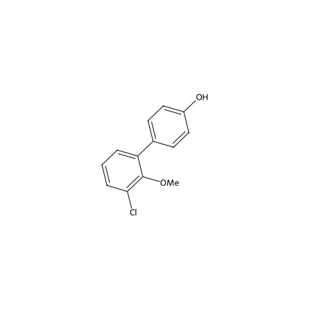 COc1c(Cl)cccc1-c1ccc(O)cc1